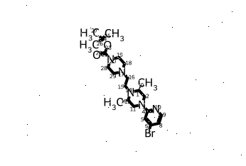 C[C@@H]1CN(c2cc(Br)ccn2)C[C@H](C)N1CCN1CCN(C(=O)OC(C)(C)C)CC1